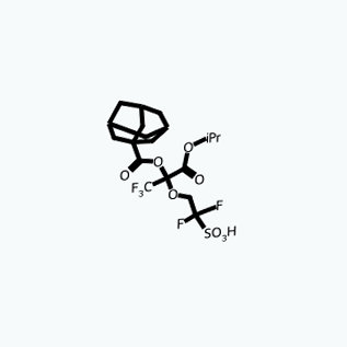 CC(C)OC(=O)C(OCC(F)(F)S(=O)(=O)O)(OC(=O)C12CC3CC(CC(C3)C1)C2)C(F)(F)F